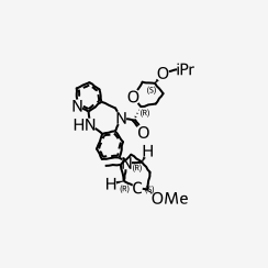 CO[C@H]1C[C@H]2CC(C)[C@@H](C1)N2c1ccc2c(c1)N(C(=O)[C@H]1CC[C@H](OC(C)C)CO1)Cc1cccnc1N2